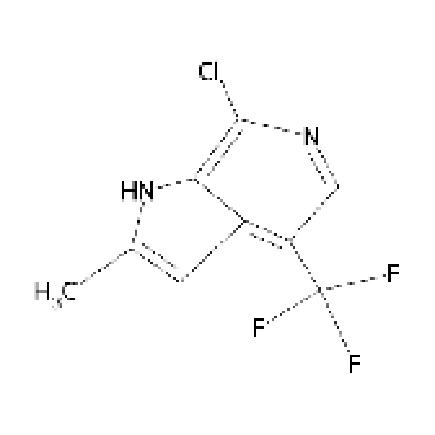 Cc1cc2c(C(F)(F)F)cnc(Cl)c2[nH]1